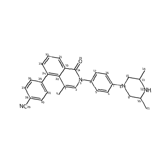 Cc1cn(-c2ccc(N3CC(C)NC(C)C3)cc2)c(=O)c2cccc(-c3ccc(C#N)cc3)c12